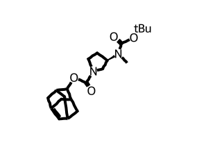 CN(C(=O)OC(C)(C)C)[C@@H]1CCN(C(=O)OC2C3CC4=CC(C3)CC2C4)C1